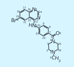 CN1CCN(C(=O)c2ccc(Nc3ncnc4ccc(Br)cc34)cc2)CC1